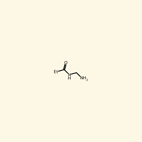 CCC(=O)NCN